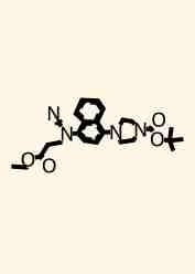 CCOC(=O)CCN(C#N)c1ccc(N2CCN(C(=O)OC(C)(C)C)CC2)c2ccccc12